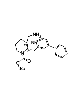 CC(C)(C)OC(=O)N1CCC[C@@](N)(CN)[C@@H]1Cc1cccc(-c2ccccc2)c1